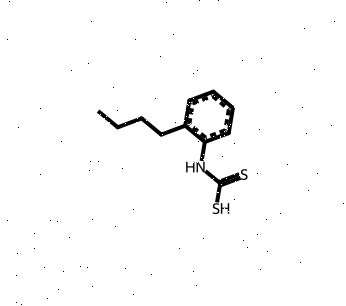 CCCCc1ccccc1NC(=S)S